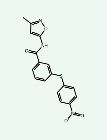 Cc1cc(NC(=O)c2cccc(Sc3ccc([N+](=O)[O-])cc3)c2)on1